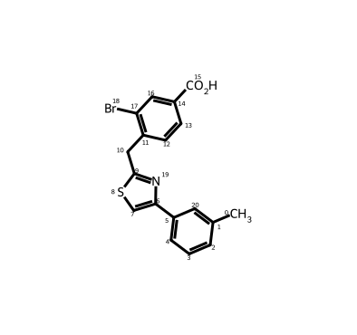 Cc1cccc(-c2csc(Cc3ccc(C(=O)O)cc3Br)n2)c1